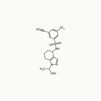 C#Cc1cc(C(F)(F)F)cc(S(=O)(=O)NC2CCCc3c2cnn3C(C)OC(C)=O)c1